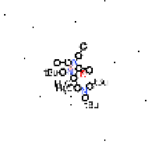 CC(C)(C)c1ccc(N2B3c4cc(-c5ccccc5)ccc4N(c4ccc(-c5ccccc5)cc4)c4cc5c(oc6ccccc65)c(c43)-c3cc4c(cc32)C(C)(C)c2ccc(N(c3ccc(C(C)(C)C)cc3)c3ccc(C(C)(C)C)cc3)cc2-4)cc1